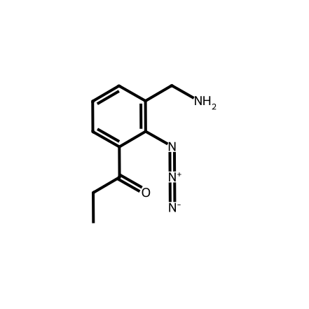 CCC(=O)c1cccc(CN)c1N=[N+]=[N-]